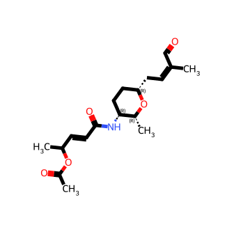 CC(=O)OC(C)C=CC(=O)N[C@@H]1CC[C@H](CC=C(C)C=O)O[C@@H]1C